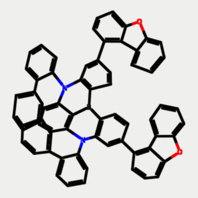 c1ccc(-c2ccccc2N2c3cc(-c4cccc5oc6ccccc6c45)ccc3B3c4ccc(-c5cccc6oc7ccccc7c56)cc4N(c4ccccc4-c4ccccc4)c4cccc2c43)cc1